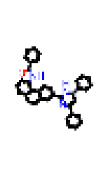 C1=C(c2ccccc2)N=C(c2ccc3c(ccc4ccc5c(c43)NC(c3ccccc3)O5)c2)NC1c1ccccc1